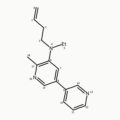 C=CCCN(CC)c1cc(-c2cccnc2)cnc1C